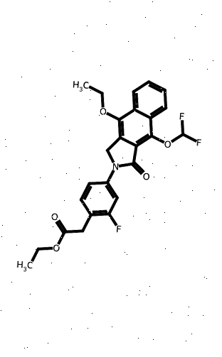 CCOC(=O)Cc1ccc(N2Cc3c(c(OC(F)F)c4ccccc4c3OCC)C2=O)cc1F